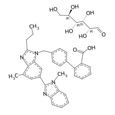 CCCc1nc2c(C)cc(-c3nc4ccccc4n3C)cc2n1Cc1ccc(-c2ccccc2C(=O)O)cc1.O=C[C@H](O)[C@@H](O)[C@H](O)[C@H](O)CO